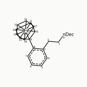 CCCCCCCCCCCCc1ccccc1[C]12[CH]3[CH]4[CH]5[CH]1[Fe]45321678[CH]2[CH]1[CH]6[CH]7[CH]28